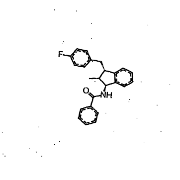 CC1[C@H](NC(=O)c2ccccc2)c2ccccc2[C@@H]1Cc1ccc(F)cc1